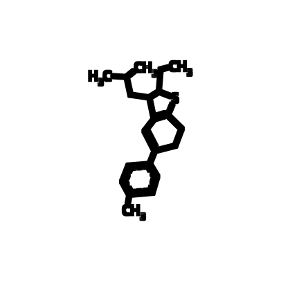 CCC1SC2=C(C=C(c3ccc(C)cc3)CC2)C1CC(C)C